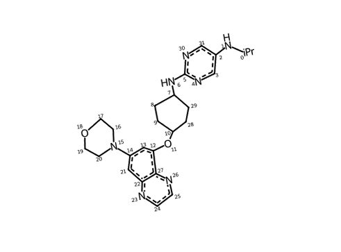 CC(C)Nc1cnc(NC2CCC(Oc3cc(N4CCOCC4)cc4nccnc34)CC2)nc1